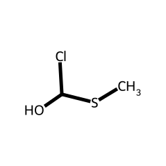 CSC(O)Cl